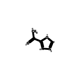 CC(=O)c1nnco1